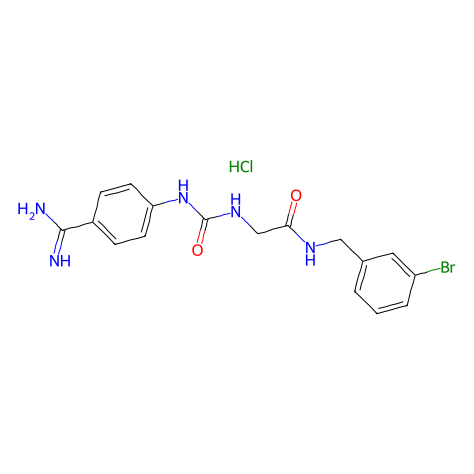 Cl.N=C(N)c1ccc(NC(=O)NCC(=O)NCc2cccc(Br)c2)cc1